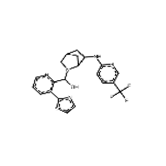 OC(c1ncccc1-c1nccs1)N1CC2CC(Nc3ccc(C(F)(F)F)cn3)C1C2